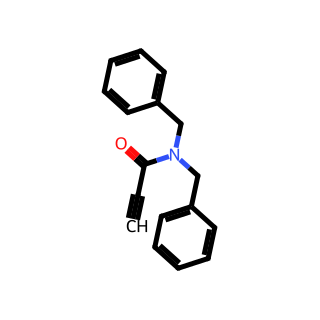 C#CC(=O)N(Cc1ccccc1)Cc1ccccc1